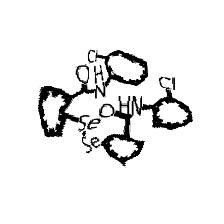 O=C(Nc1ccccc1Cl)c1ccccc1[Se][Se]c1ccccc1C(=O)Nc1ccccc1Cl